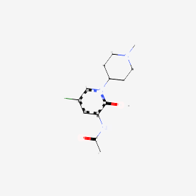 CC(=O)Nc1cc(Cl)cn(C2CCN(C)CC2)c1=O